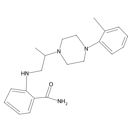 Cc1ccccc1N1CCN(C(C)CNc2ccccc2C(N)=O)CC1